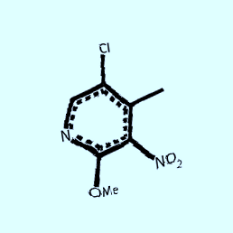 COc1ncc(Cl)c(C)c1[N+](=O)[O-]